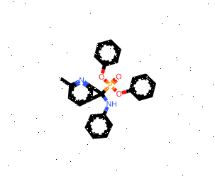 Cc1ccc2c(n1)C2(Nc1ccccc1)P(=O)(Oc1ccccc1)Oc1ccccc1